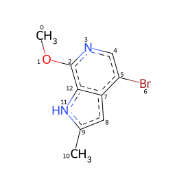 COc1ncc(Br)c2cc(C)[nH]c12